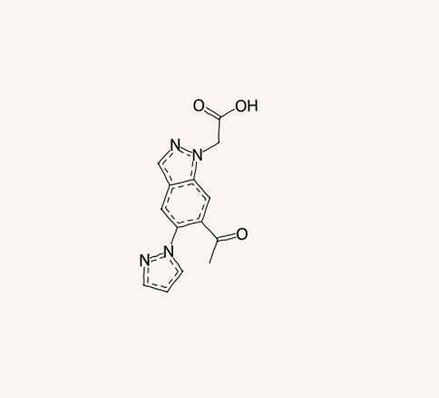 CC(=O)c1cc2c(cnn2CC(=O)O)cc1-n1cccn1